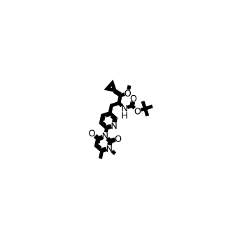 COC(=C1CC1)C(Cc1ccc(-n2c(=O)cc(C)n(C)c2=O)nc1)NC(=O)OC(C)(C)C